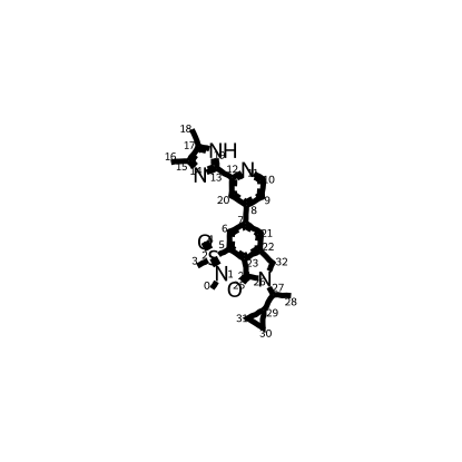 CN=S(C)(=O)c1cc(-c2ccnc(-c3nc(C)c(C)[nH]3)c2)cc2c1C(=O)N(C(C)C1CC1)C2